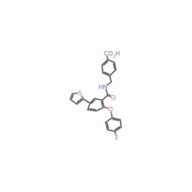 O=C(O)c1ccc(CNC(=O)c2cc(-c3cccs3)ccc2Oc2ccc(F)cc2)cc1